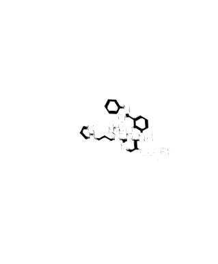 CCOC(=O)c1cnc(NCCCn2cccn2)nc1Nc1cccc(-c2nc3ccccc3o2)c1OC